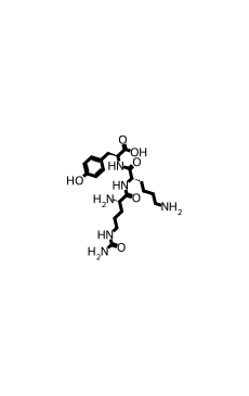 NCCCC[C@H](NC(=O)[C@@H](N)CCCNC(N)=O)C(=O)N[C@@H](Cc1ccc(O)cc1)C(=O)O